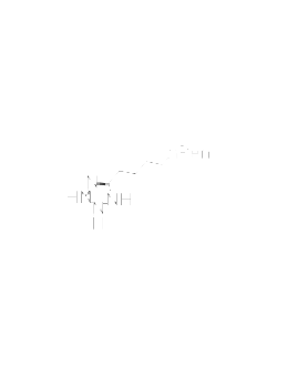 CCCCCCCCCC1=NNNN1